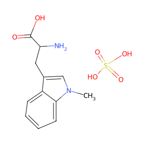 Cn1cc(CC(N)C(=O)O)c2ccccc21.O=S(=O)(O)O